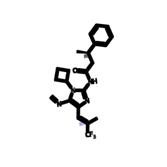 C=Nc1c(/C=C(\C)C(F)(F)F)nc(NC(=O)C[C@@H](C)c2ccccc2)n1C1CCC1